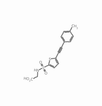 Cc1ccc(C#Cc2ccc(S(=O)(=O)NCC(=O)O)s2)cc1